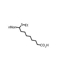 CCCCCCCCCC(CCCCCCCC(=O)O)SCC